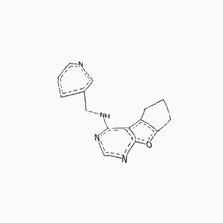 c1cncc(CNc2ncnc3oc4c(c23)CCC4)c1